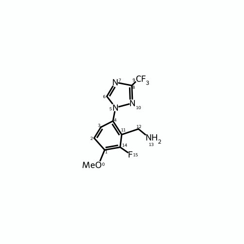 COc1ccc(-n2cnc(C(F)(F)F)n2)c(CN)c1F